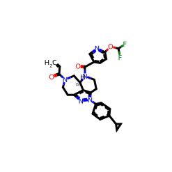 C=CC(=O)N1CCc2nn(-c3ccc(C4CC4)cc3)c3c2[C@@H](C1)N(C(=O)c1ccc(OC(F)F)nc1)CC3